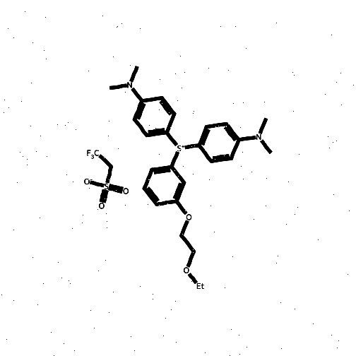 CCOCCOc1cccc([S+](c2ccc(N(C)C)cc2)c2ccc(N(C)C)cc2)c1.O=S(=O)([O-])CC(F)(F)F